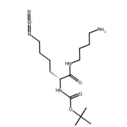 CC(C)(C)OC(=O)N[C@H](CCCCN=[N+]=[N-])C(=O)NCCCCN